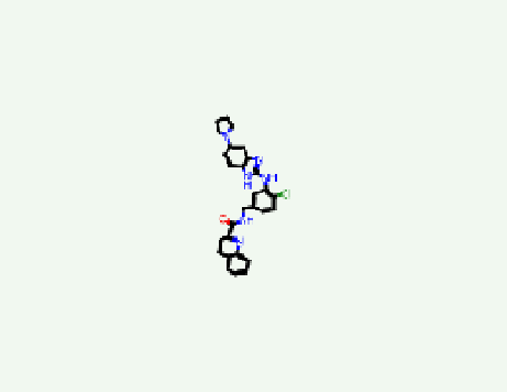 O=C(NCc1ccc(Cl)c(Nc2nc3cc(N4CCCC4)ccc3[nH]2)c1)c1ccc2ccccc2n1